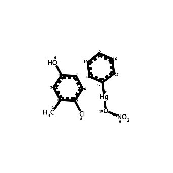 Cc1cc(O)ccc1Cl.O=[N+]([O-])[O][Hg][c]1ccccc1